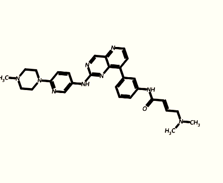 CN(C)CC=CC(=O)Nc1cccc(-c2ccnc3cnc(Nc4ccc(N5CCN(C)CC5)nc4)nc23)c1